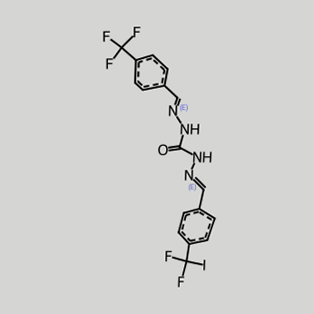 O=C(N/N=C/c1ccc(C(F)(F)F)cc1)N/N=C/c1ccc(C(F)(F)I)cc1